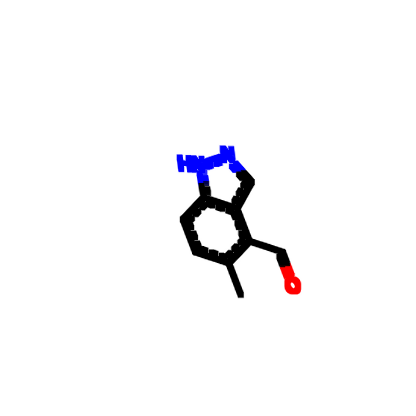 Cc1ccc2[nH]ncc2c1C=O